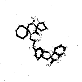 [11CH3]N1CC2(CCCCCC2)N(CC(=O)Nc2ccc3c(c2)C[C@@]2(C3)C(=O)Nc3ncccc32)C(=O)C12CCCC2